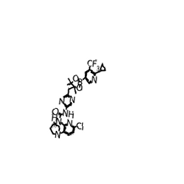 CC1(C)OB(c2cnc(C3CC3)c(C(F)(F)F)c2)OC1(C)Cc1cnc(NC(=O)N2c3nc(Cl)ccc3N3CC[C@H]2C3)cn1